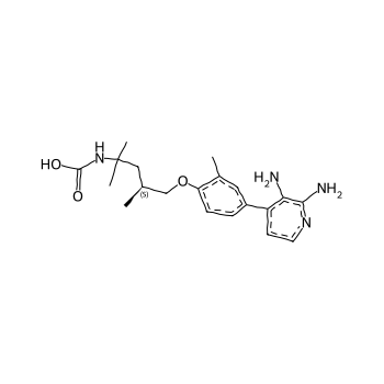 Cc1cc(-c2ccnc(N)c2N)ccc1OC[C@@H](C)CC(C)(C)NC(=O)O